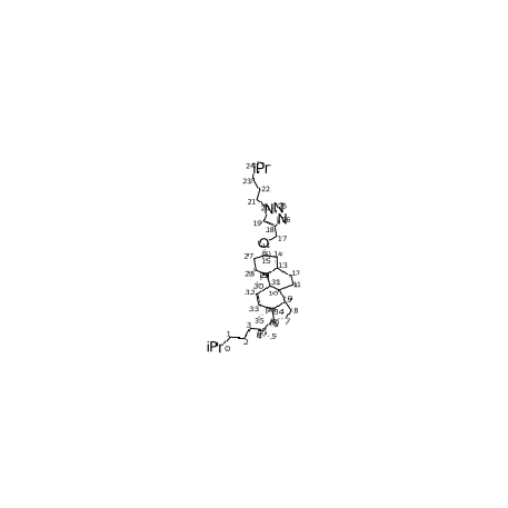 CC(C)CCC[C@@H](C)[C@H]1CCC2C3CCC4C[C@@H](OCc5cn(CCCC(C)C)nn5)CC[C@]4(C)C3CC[C@@]21C